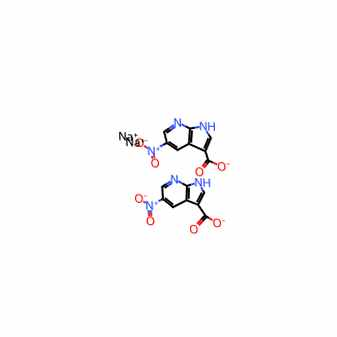 O=C([O-])c1c[nH]c2ncc([N+](=O)[O-])cc12.O=C([O-])c1c[nH]c2ncc([N+](=O)[O-])cc12.[Na+].[Na+]